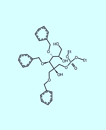 CCOP(=O)(OCC)OC[C@](O)(COCc1ccccc1)[C@@H](OCc1ccccc1)[C@H](OCc1ccccc1)[C@H](O)CO